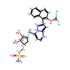 NS(=O)(=O)OC[C@H]1C[C@@H](Nc2ccnc3cc(-c4c(OC(F)F)ccc5ccccc45)nn23)[C@H](O)[C@@H]1O